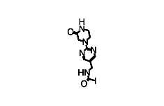 O=C(I)NCc1cnc(N2CCNC(=O)C2)nc1